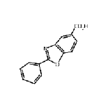 O=C(O)c1ccc2oc(-c3ccccc3)nc2c1